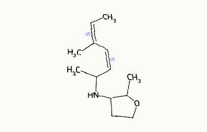 C/C=C(C)\C=C/C(C)NC1CCOC1C